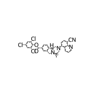 C[C@@H]1CN(c2ccc(C#N)c3ncccc23)C[C@@H]2c3ccc(C(=O)Oc4c(Cl)cc(Cl)cc4Cl)cc3CN12